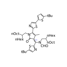 CCCCCCCCC(CCCCCC)CN1C(=O)/C(=C(\c2ncc(C(C)(C)C)s2)N(C=O)CC(CCCCCC)CCCCCCCC)C(C)=C1c1ncc(-c2ccc(C(C)(C)C)s2)s1